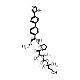 C=N/C=C(\NC[C@@H]1CCCN1C(=O)[C@H](CC)N(C)C(=O)OC(C)(C)CCO)c1ccc(-c2ccc(-c3cnc[nH]3)cc2)cc1